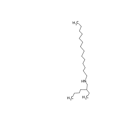 CCCCCCCCCCCCCCNCC(CC)CCCC